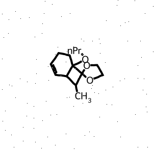 CCCOC12CCC=CC1C(C)C21OCCO1